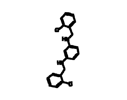 Clc1ccccc1CNc1cccc(NCc2ccccc2Cl)c1